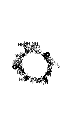 CCCC[C@H]1C(=O)N(C)[C@@H](CCCC)C(=O)N[C@@H](CCCNC(=N)N)C(=O)N[C@H](C(=O)NCC(N)=O)CSCC(=O)N[C@@H](Cc2ccccc2)C(=O)N(C)[C@@H](C)C(=O)N[C@@H](CC(N)=O)C(=O)N2CCC[C@H]2C(=O)N[C@@H](Cc2cnc[nH]2)C(=O)N[C@@H](CC(C)C)C(=O)N(C)CC(=O)N[C@@H](Cc2c[nH]cn2)C(=O)N[C@@H](CO)C(O)N[C@@H](Cc2c[nH]c3ccccc23)C(=O)N1C